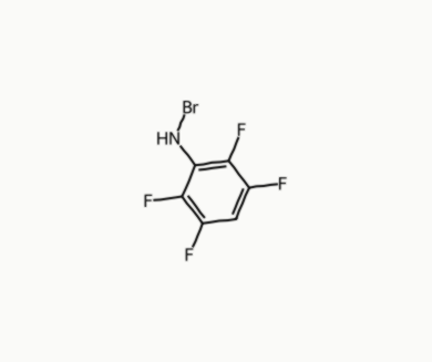 Fc1cc(F)c(F)c(NBr)c1F